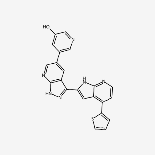 Oc1cncc(-c2cnc3[nH]nc(-c4cc5c(-c6cccs6)ccnc5[nH]4)c3c2)c1